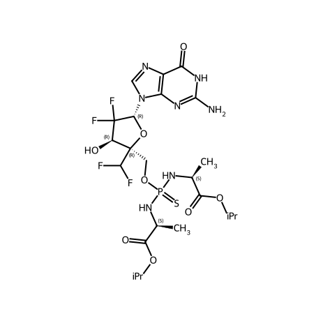 CC(C)OC(=O)[C@H](C)NP(=S)(N[C@@H](C)C(=O)OC(C)C)OC[C@@]1(C(F)F)O[C@@H](n2cnc3c(=O)[nH]c(N)nc32)C(F)(F)[C@@H]1O